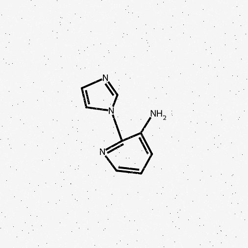 Nc1cccnc1-n1ccnc1